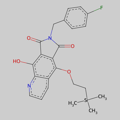 C[Si](C)(C)CCOc1c2c(c(O)c3ncccc13)C(=O)N(Cc1ccc(F)cc1)C2=O